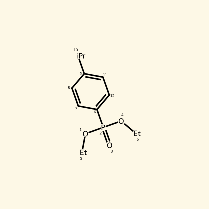 CCOP(=O)(OCC)c1ccc(C(C)C)cc1